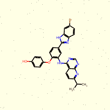 CC(C)c1ccc2c(Nc3cc(-c4nc5ccc(Br)cc5[nH]4)ccc3Oc3ccc(O)cc3)ncnc2n1